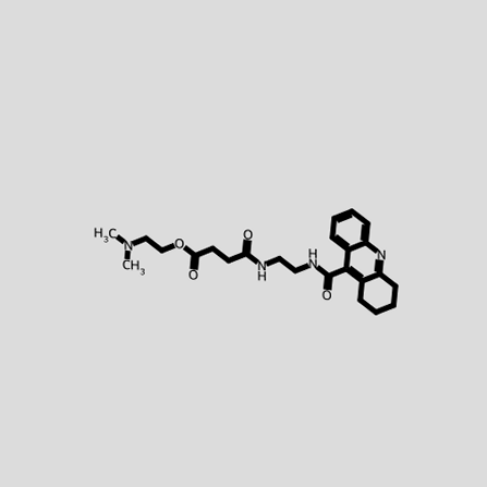 CN(C)CCOC(=O)CCC(=O)NCCNC(=O)c1c2c(nc3ccccc13)CCCC2